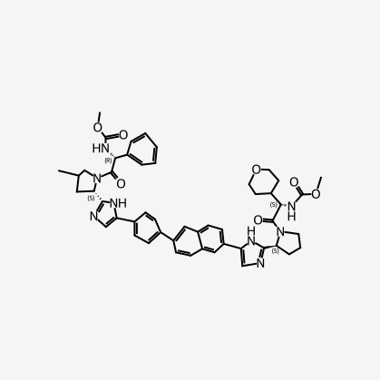 COC(=O)N[C@H](C(=O)N1CCC[C@H]1c1ncc(-c2ccc3cc(-c4ccc(-c5cnc([C@@H]6CC(C)CN6C(=O)[C@H](NC(=O)OC)c6ccccc6)[nH]5)cc4)ccc3c2)[nH]1)C1CCOCC1